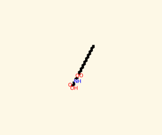 CCCCCCCCCCCCCCCCCC(=O)OCCNCCC(=O)O